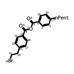 CCCCCc1ccc(C(=O)OC(=O)c2ccc(CCBr)cc2)cc1